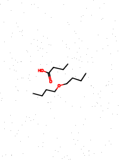 CCCC(=O)O.CCCCOCCCC